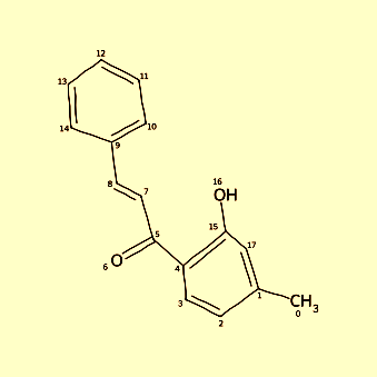 Cc1ccc(C(=O)C=Cc2ccccc2)c(O)c1